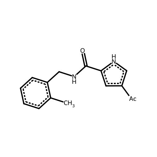 CC(=O)c1c[nH]c(C(=O)NCc2ccccc2C)c1